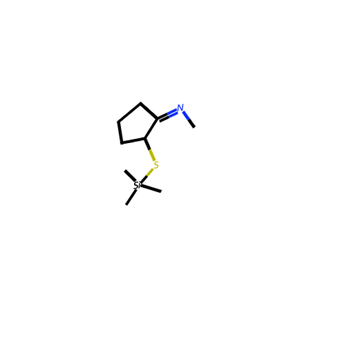 CN=C1CCCC1S[Si](C)(C)C